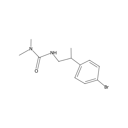 CC(CNC(=O)N(C)C)c1ccc(Br)cc1